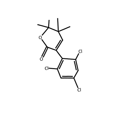 CC1(C)C=C(c2c(Cl)cc(Cl)cc2Cl)C(=O)OC1(C)C